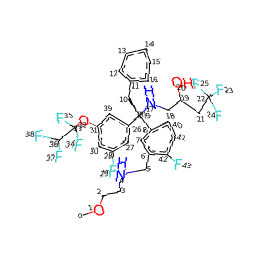 COCCNCc1cc([C@@](Cc2ccccc2)(NCC(O)CC(F)(F)F)c2cc(F)cc(OC(F)(F)C(F)F)c2)ccc1F